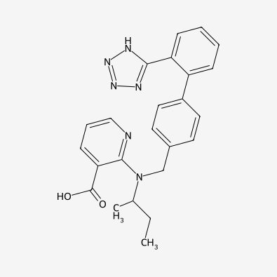 CCC(C)N(Cc1ccc(-c2ccccc2-c2nnn[nH]2)cc1)c1ncccc1C(=O)O